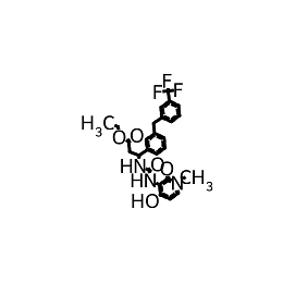 CCOC(=O)CC(NC(=O)Nc1c(O)ccn(C)c1=O)c1cccc(Cc2cccc(C(F)(F)F)c2)c1